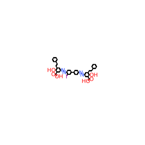 O=C(O)c1cc(N=Nc2ccc(-c3ccc(N=Nc4cc(C=Cc5ccccc5)c(O)c(C(=O)O)c4)c(I)c3)cc2)cc(C=Cc2ccccc2)c1O